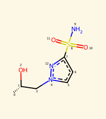 C[C@H](O)Cn1ccc(S(N)(=O)=O)n1